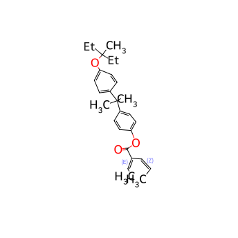 C/C=C\C(=C/C)C(=O)Oc1ccc(C(C)(C)c2ccc(OC(C)(CC)CC)cc2)cc1